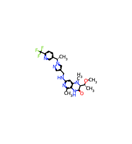 CO[C@H](C)[C@H]1C(=O)Nc2c(cc(NCc3cnn([C@@H](C)c4ccc(C(F)(F)F)nc4)c3)nc2C)N1C